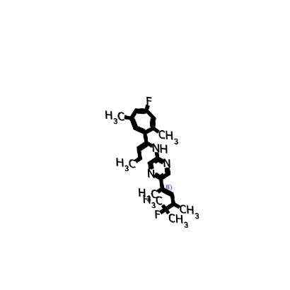 CCC=C(Nc1cnc(/C(C)=C/C(C)C(C)(C)F)cn1)C1=C=C(C)C=C(F)C=C1C